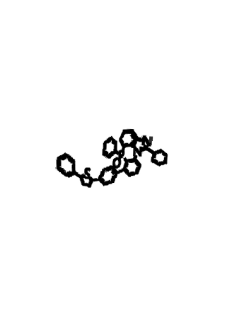 O=P1(c2ccccc2)c2c(-c3ccc(-c4ccc(-c5ccccc5)s4)cc3)cccc2-n2c(-c3ccccc3)nc3cccc1c32